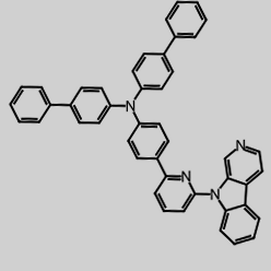 c1ccc(-c2ccc(N(c3ccc(-c4ccccc4)cc3)c3ccc(-c4cccc(-n5c6ccccc6c6ccncc65)n4)cc3)cc2)cc1